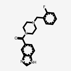 O=C(c1ccc2[nH]cnc2c1)N1CCN(Cc2ccccc2F)CC1